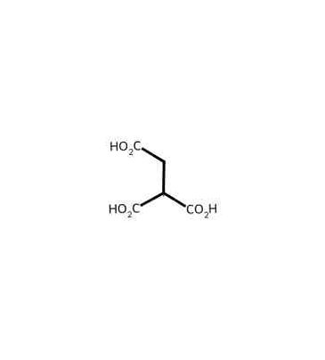 O=C(O)C[C](C(=O)O)C(=O)O